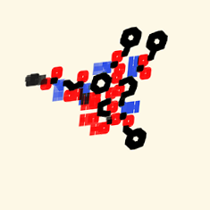 CC(C)(C)OC(=O)NC[C@H](O)C(=O)N[C@@H]1C[C@H](NC(=O)OCc2ccccc2)[C@@H](O[C@H]2O[C@H](CNC(=O)OCc3ccccc3)C=C[C@H]2NC(=O)OCc2ccccc2)[C@H](O[C@@H]2O[C@H](CO)[C@@H](O)[C@H]2O)[C@H]1O